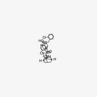 N#Cc1cnc(NCc2ccccc2Cl)nc1NC[C@]12CC3C[C@H](C1)[C@@H](NCC(=O)N1CCC(O)CC1)[C@@H](C3)C2